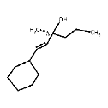 CCC[C@](C)(O)C=CC1CCCCC1